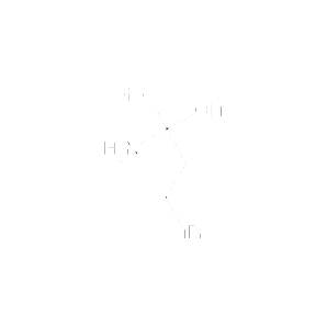 CC(C)CCC(N)(O)[C]=O